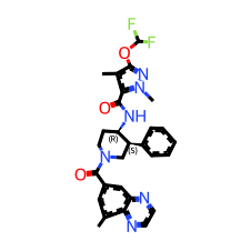 Cc1c(OC(F)F)nn(C)c1C(=O)N[C@@H]1CCN(C(=O)c2cc(C)c3nccnc3c2)C[C@@H]1c1ccccc1